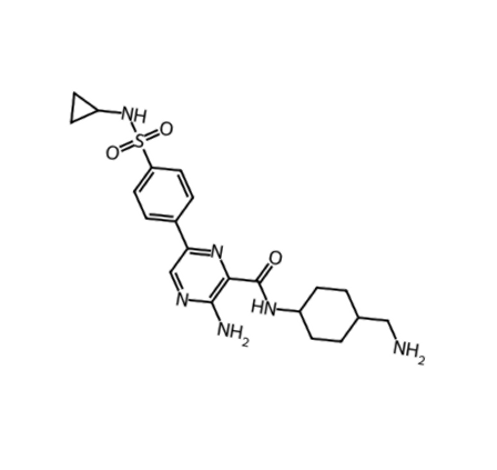 NCC1CCC(NC(=O)c2nc(-c3ccc(S(=O)(=O)NC4CC4)cc3)cnc2N)CC1